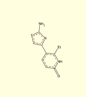 CCc1[nH]c(=O)ccc1-c1csc(N)n1